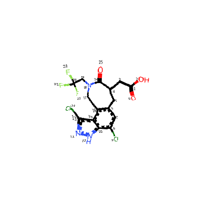 O=C(O)CC1Cc2cc(Cl)c3[nH]nc(Cl)c3c2CN(CC(F)(F)F)C1=O